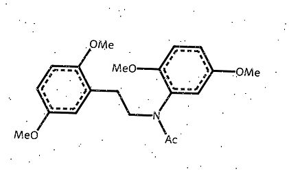 COc1ccc(OC)c(CCN(C(C)=O)c2cc(OC)ccc2OC)c1